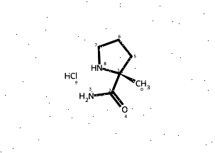 C[C@]1(C(N)=O)CCCN1.Cl